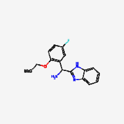 COCOc1ccc(F)cc1C(N)c1nc2ccccc2[nH]1